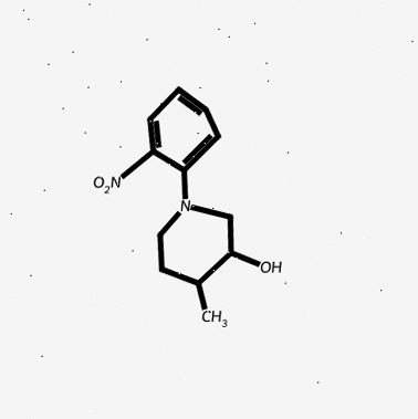 CC1CCN(c2ccccc2[N+](=O)[O-])CC1O